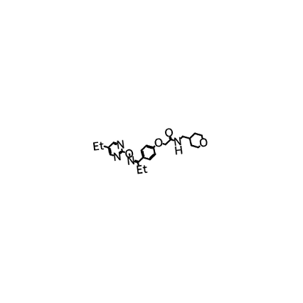 CCC(=NOc1ncc(CC)cn1)c1ccc(OCC(=O)NCC2CCOCC2)cc1